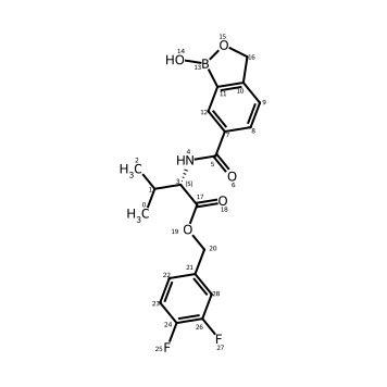 CC(C)[C@H](NC(=O)c1ccc2c(c1)B(O)OC2)C(=O)OCc1ccc(F)c(F)c1